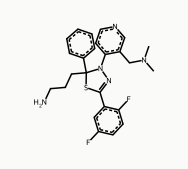 CN(C)Cc1cnccc1N1N=C(c2cc(F)ccc2F)SC1(CCCN)c1ccccc1